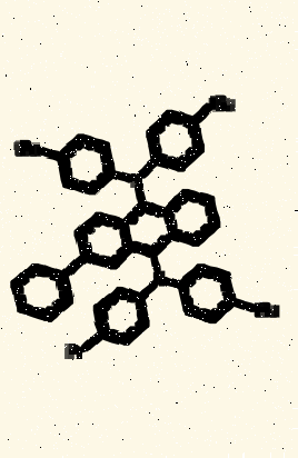 CC(C)c1ccc(N(c2ccc(C(C)(C)C)cc2)c2c3ccccc3c(N(c3ccc(C(C)(C)C)cc3)c3ccc(C(C)(C)C)cc3)c3ccc(-c4ccccc4)cc23)cc1